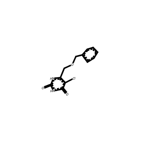 O=c1[nH]c(COCc2ccccc2)c(Cl)c(=O)[nH]1